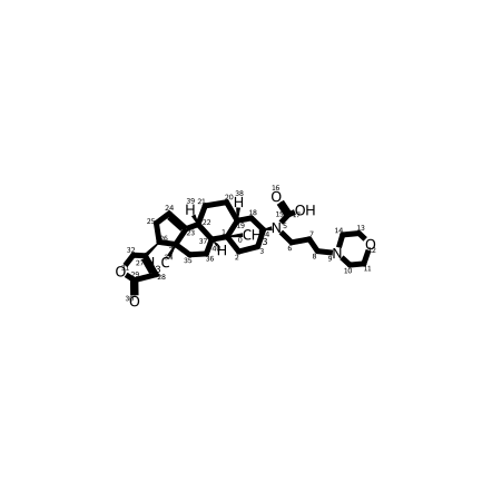 C[C@]12CC[C@H](N(CCCN3CCOCC3)C(=O)O)C[C@H]1CC[C@H]1C3=CC[C@H](C4=CC(=O)OC4)[C@@]3(C)CC[C@@H]12